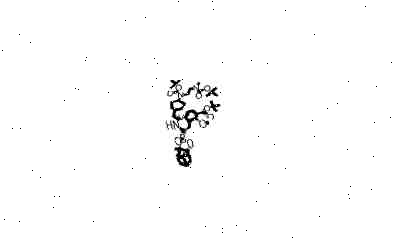 COc1c(C[C@H](NC(=O)CC2CCC(N(CCN(C)C(=O)OC(C)(C)C)C(=O)OC(C)(C)C)CC2)B2OC3CC4CC(C4(C)C)C3(C)O2)cccc1C(=O)OC(C)(C)C